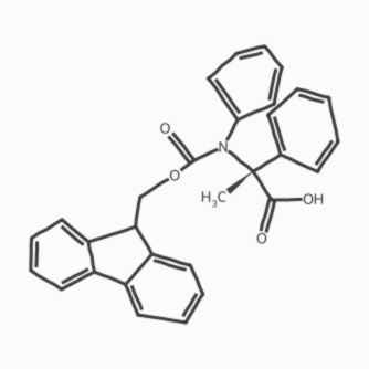 C[C@](C(=O)O)(c1ccccc1)N(C(=O)OCC1c2ccccc2-c2ccccc21)c1ccccc1